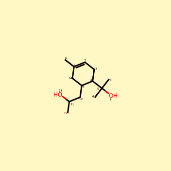 CC1=CCC(C(C)(C)O)C(CC(C)O)C1